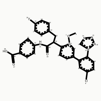 CO[n+]1cc(-c2cc(Cl)ccc2-n2cnnn2)ccc1C(Cc1ccc(F)cc1)C(=O)Nc1ccc(C(=O)O)cc1